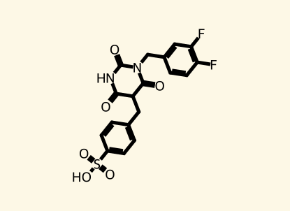 O=C1NC(=O)N(Cc2ccc(F)c(F)c2)C(=O)C1Cc1ccc(S(=O)(=O)O)cc1